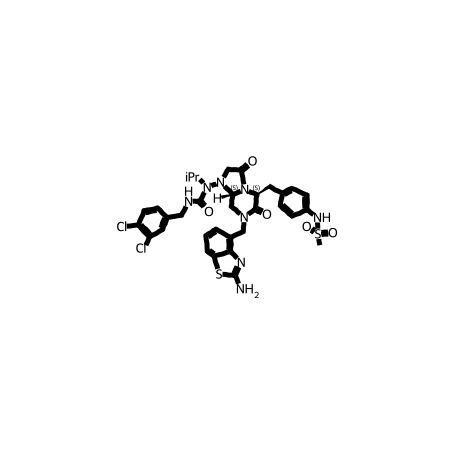 CC(C)N(C(=O)NCc1ccc(Cl)c(Cl)c1)N1CC(=O)N2[C@@H](Cc3ccc(NS(C)(=O)=O)cc3)C(=O)N(Cc3cccc4sc(N)nc34)C[C@@H]21